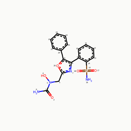 NC(=O)N(O)Cc1nc(-c2ccccc2S(N)(=O)=O)c(-c2ccccc2)o1